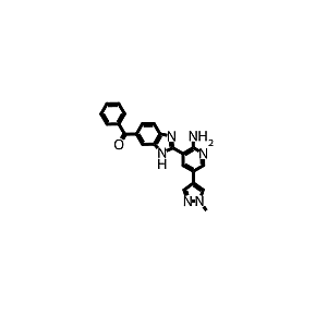 Cn1cc(-c2cnc(N)c(-c3nc4ccc(C(=O)c5ccccc5)cc4[nH]3)c2)cn1